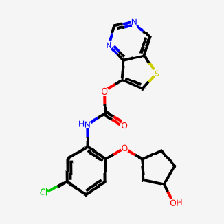 O=C(Nc1cc(Cl)ccc1OC1CCC(O)C1)Oc1csc2cncnc12